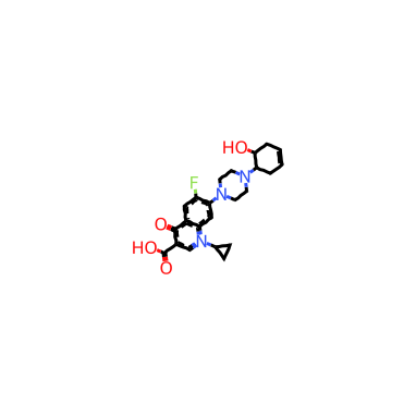 O=C(O)c1cn(C2CC2)c2cc(N3CCN(C4CC=CCC4O)CC3)c(F)cc2c1=O